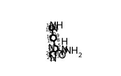 NNC(=O)c1cc(-c2ccc(-c3cc[nH]n3)cc2)nc2ccncc12